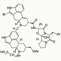 CC(C)C[C@H]1C(=O)N2CCC[C@H]2[C@]2(O)O[C@](NC(=O)[C@@H]3C=C4c5cccc6[nH]c(Br)c(c56)C[C@H]4N(C)C3)(C(C)C)C(=O)N12.CCCN1C[C@H](CSC)C[C@@H]2c3cccc4[nH]cc(c34)C[C@H]21.CS(=O)(=O)O